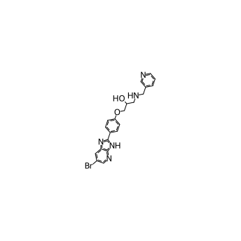 OC(CNCc1cccnc1)COc1ccc(-c2nc3cc(Br)cnc3[nH]2)cc1